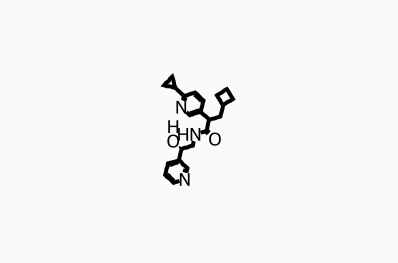 O=C(NC[C@@H](O)c1cccnc1)C(CC1CCC1)c1ccc(C2CC2)nc1